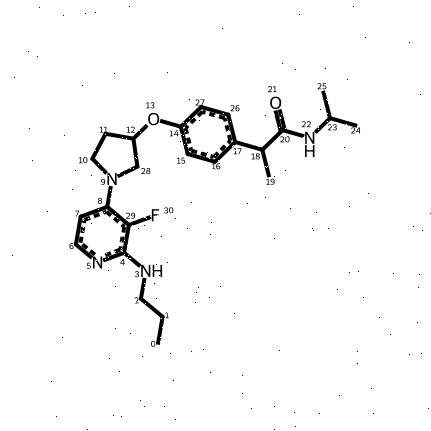 CCCNc1nccc(N2CCC(Oc3ccc(C(C)C(=O)NC(C)C)cc3)C2)c1F